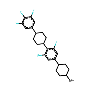 CCCC1CCC(c2cc(F)c(C3CCC(c4cc(F)c(F)c(F)c4)CC3)c(F)c2)CC1